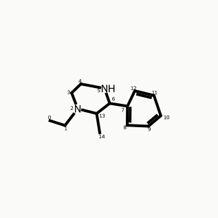 CCN1CCNC(c2ccccc2)C1C